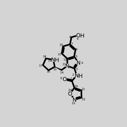 O=C(Nc1nc2cc(CO)ccc2n1C[C@H]1CCCN1)c1ccno1